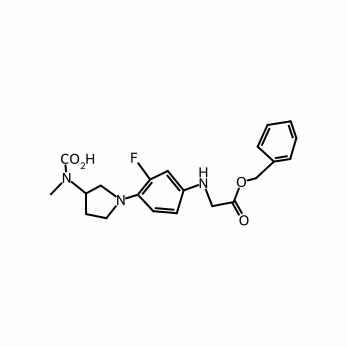 CN(C(=O)O)C1CCN(c2ccc(NCC(=O)OCc3ccccc3)cc2F)C1